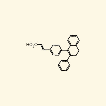 O=C(O)/C=C/c1ccc(C2=C(c3ccccc3)CCc3ccccc32)cc1